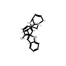 O=C(c1cc2ccccc2[nH]1)N1CN2CC=CC(O1)C2c1ccc(Cl)cc1